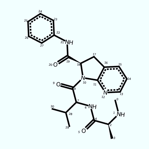 CN[C@@H](C)C(=O)NC(C(=O)N1c2ncccc2C[C@@H]1C(=O)Nc1ccccc1)C(C)C